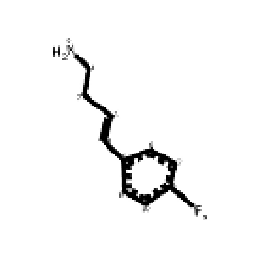 NCCC=Cc1ccc(F)cc1